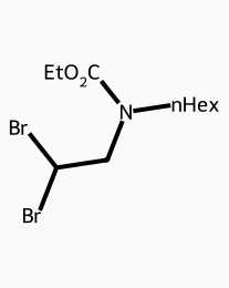 CCCCCCN(CC(Br)Br)C(=O)OCC